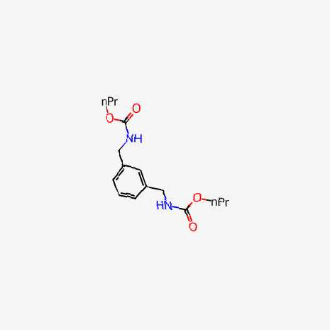 CCCOC(=O)NCc1cccc(CNC(=O)OCCC)c1